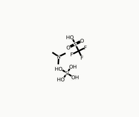 CN(C)C.O=S(=O)(O)C(F)(F)F.O[Si](O)(O)O